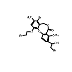 COc1c([C@@H](O)CC(C)C)ccc2c1C(=O)OCc1c(Br)c(C)cc(OCCC(C)C)c1O2